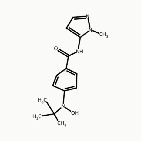 Cn1nccc1NC(=O)c1ccc(N(O)C(C)(C)C)cc1